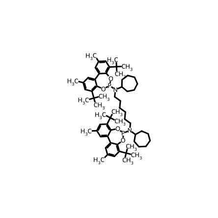 Cc1cc(C(C)(C)C)c2op(N(CCCCCCN(C3CCCCCC3)p3oc4c(C(C)(C)C)cc(C)cc4c4cc(C)cc(C(C)(C)C)c4o3)C3CCCCCC3)oc3c(C(C)(C)C)cc(C)cc3c2c1